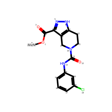 CNOC(=O)c1n[nH]c2c1CN(C(=O)Nc1cccc(Cl)c1)CC2